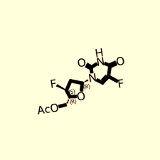 CC(=O)OC[C@H]1O[C@@H](n2cc(F)c(=O)[nH]c2=O)C[C@@H]1F